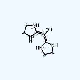 [Cl][Ru](=[C]1NCCN1)=[C]1NCCN1